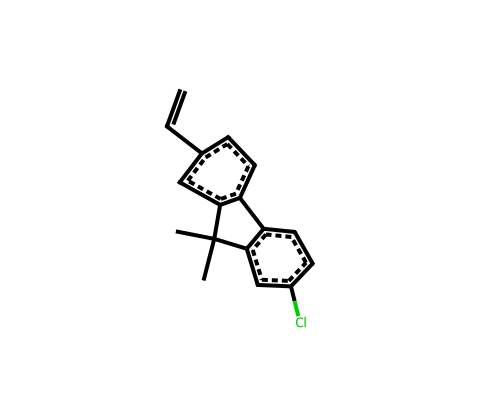 C=Cc1ccc2c(c1)C(C)(C)c1cc(Cl)ccc1-2